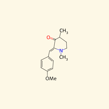 COc1ccc(/C=C2/C(=O)C(C)CCN2C)cc1